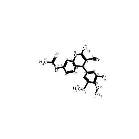 COc1cc(C2C(C#N)=C(N)Oc3cc(NC(C)=O)ccc32)cc(Br)c1OC